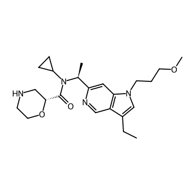 CCc1cn(CCCOC)c2cc([C@H](C)N(C(=O)[C@H]3CNCCO3)C3CC3)ncc12